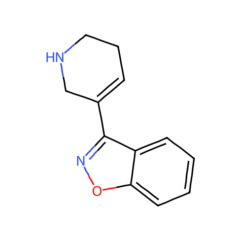 C1=C(c2noc3ccccc23)CNCC1